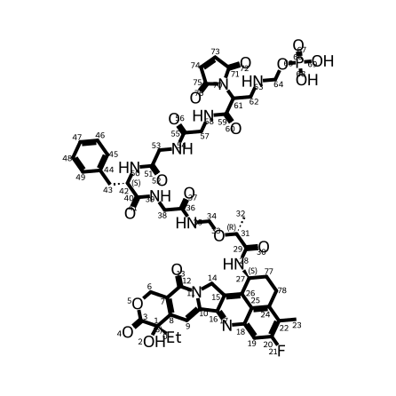 CC[C@@]1(O)C(=O)OCc2c1cc1n(c2=O)Cc2c-1nc1cc(F)c(C)c3c1c2[C@@H](NC(=O)[C@@H](C)OCNC(=O)CNC(=O)[C@H](Cc1ccccc1)NC(=O)CNC(=O)CNC(=O)C(CNCOP(=O)(O)O)N1C(=O)C=CC1=O)CC3